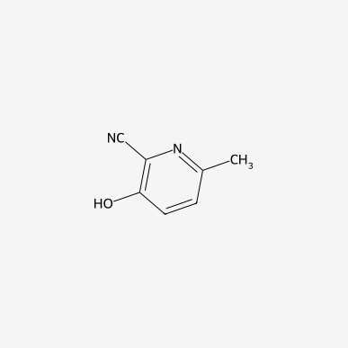 Cc1ccc(O)c(C#N)n1